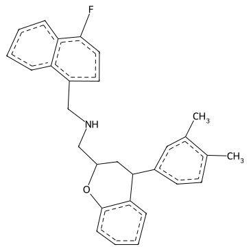 Cc1ccc(C2CC(CNCc3ccc(F)c4ccccc34)Oc3ccccc32)cc1C